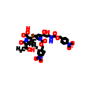 C[C@@H](O)[C@H]1C(=O)N2C(C(=O)O)=C(S[C@H]3C[C@@H](C(O)CCNC(=O)OCc4ccc([N+](=O)[O-])cc4)N(C(=O)OCc4ccc([N+](=O)[O-])cc4)C3)[C@H](C)[C@H]12